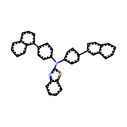 c1ccc2cc(-c3ccc(N(c4ccc(-c5cccc6ccccc56)cc4)c4nc5ccccc5s4)cc3)ccc2c1